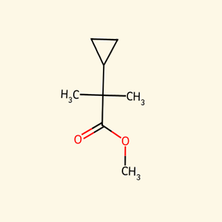 COC(=O)C(C)(C)C1CC1